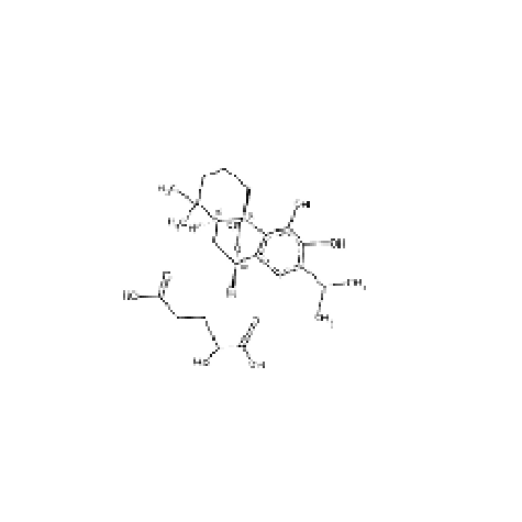 CC(C)c1cc2c(c(O)c1O)[C@@]13CCCC(C)(C)[C@@H]1C[C@@H]2OC3=O.O=C(O)CCC(O)C(=O)O